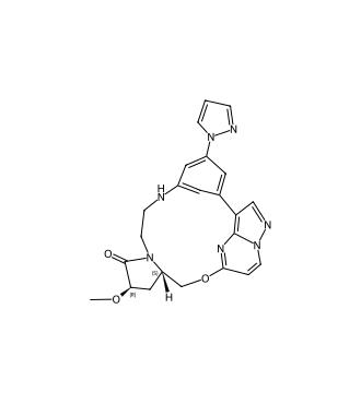 CO[C@@H]1C[C@H]2COc3ccn4ncc(c4n3)-c3cc(cc(-n4cccn4)c3)NCCN2C1=O